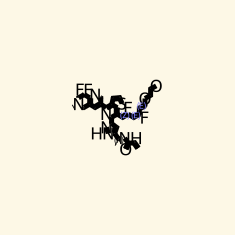 C=CC(=O)N[C@H](C)c1cc(-c2nc(-c3cnc4c(c3)CN(C)CC4(F)F)c3ccsc3c2/C=C(F)/C=C(F)\C=C\OCCOC)n[nH]1